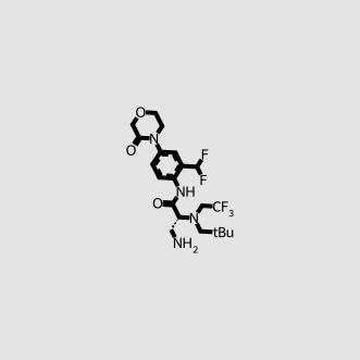 CC(C)(C)CN(CC(F)(F)F)[C@H](CN)C(=O)Nc1ccc(N2CCOCC2=O)cc1C(F)F